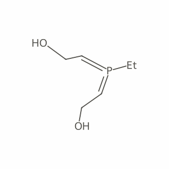 CC/P(=C\CO)=C/CO